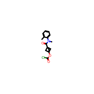 Cc1ccccc1N(C)C(=O)C12CC(OC(=O)Cl)(C1)C2